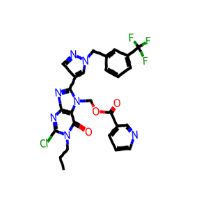 CCCn1c(Cl)nc2nc(-c3cnn(Cc4cccc(C(F)(F)F)c4)c3)n(COC(=O)c3cccnc3)c2c1=O